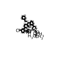 CC(C)(C)OC(=O)N1CCC(c2cccc([C@@H](CCc3ccccc3)c3ccc(-c4cc(Cl)ccc4-n4cnnn4)c[n+]3[O-])c2)CC1